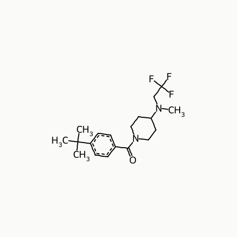 CN(CC(F)(F)F)C1CCN(C(=O)c2ccc(C(C)(C)C)cc2)CC1